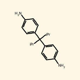 CC(C)C(c1ccc(N)cc1)(c1ccc(N)cc1)C(C)C